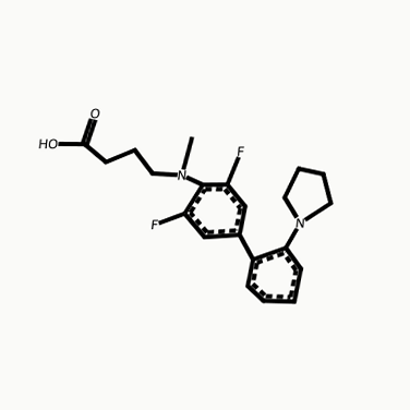 CN(CCCC(=O)O)c1c(F)cc(-c2ccccc2N2CCCC2)cc1F